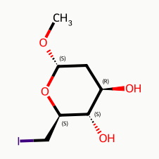 CO[C@@H]1C[C@@H](O)[C@H](O)[C@@H](CI)O1